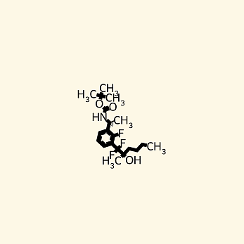 CCCCC(C)(O)C(F)(F)c1cccc([C@@H](C)NC(=O)OC(C)(C)C)c1F